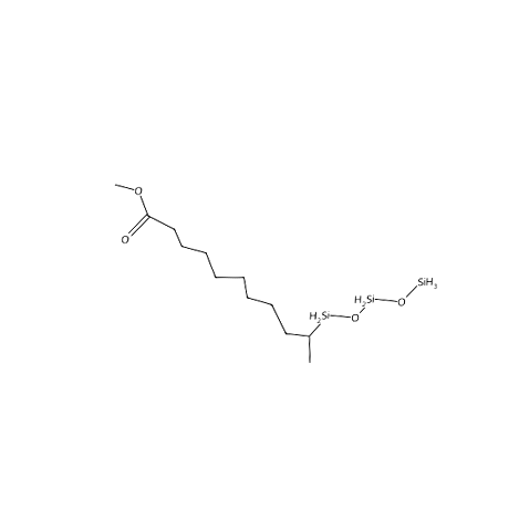 COC(=O)CCCCCCCCC(C)[SiH2]O[SiH2]O[SiH3]